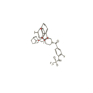 Cc1nc2ccccc2n1C1CC2CCC(C1)N2CCC1(c2cccc(F)c2)CCN(C(=O)c2ccc(NS(=O)(=O)C(F)(F)F)c(F)c2)CC1